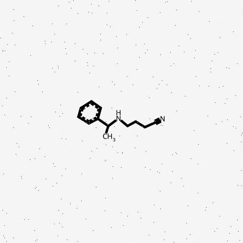 CC(NCCCC#N)c1ccccc1